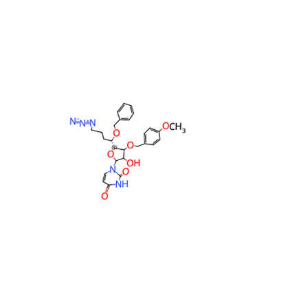 COc1ccc(COC2C(O)C(n3ccc(=O)[nH]c3=O)O[C@@H]2C(CCCN=[N+]=[N-])OCc2ccccc2)cc1